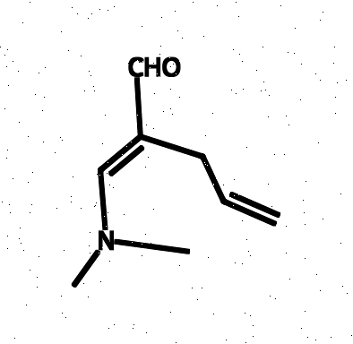 C=CC/C(C=O)=C\N(C)C